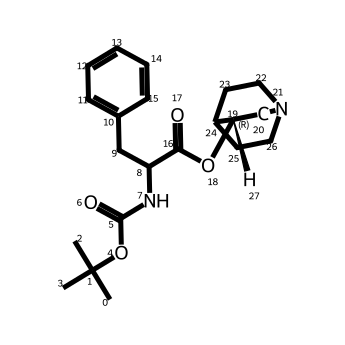 CC(C)(C)OC(=O)NC(Cc1ccccc1)C(=O)O[C@H]1CN2CCC1CC2